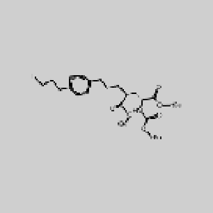 CC(C)(C)OC(=O)N[C@H](CC(CCCc1ccc(CCCF)cc1)C(=O)OC(C)(C)C)C(=O)OC(C)(C)C